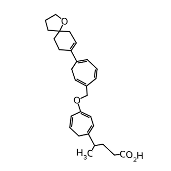 CC(CCC(=O)O)C1=CC=C(OCC2=CCC(C3=CCC4(CCCO4)CC3)=CC=C2)C=CC1